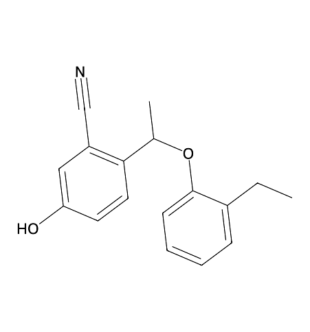 CCc1ccccc1OC(C)c1ccc(O)cc1C#N